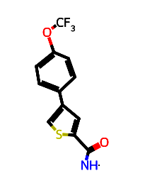 [NH]C(=O)c1cc(-c2ccc(OC(F)(F)F)cc2)cs1